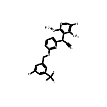 COc1ncc(Cl)c(C)c1C(C#N)c1cccc(OCc2cc(Cl)cc(C(F)(F)F)c2)n1